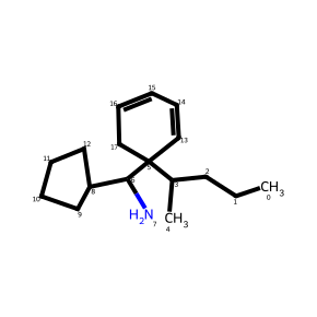 CCCC(C)C1(C(N)C2CCCC2)C=CC=[C]C1